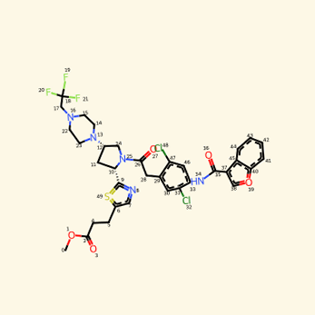 COC(=O)CCc1cnc([C@@H]2C[C@H](N3CCN(CC(F)(F)F)CC3)CN2C(=O)Cc2cc(Cl)c(NC(=O)c3coc4ccccc34)cc2Cl)s1